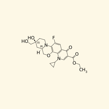 CCOC(=O)c1cn(C2CC2)c2c3c(c(F)cc2c1=O)N1CC[C@@](O)(CO)C[C@@H]1CO3